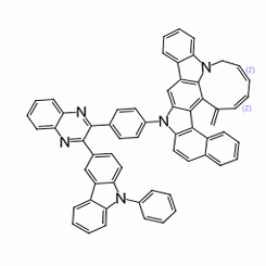 C=C1/C=C\C=C/Cn2c3ccccc3c3cc4c(c1c32)c1c2ccccc2ccc1n4-c1ccc(-c2nc3ccccc3nc2-c2ccc3c(c2)c2ccccc2n3-c2ccccc2)cc1